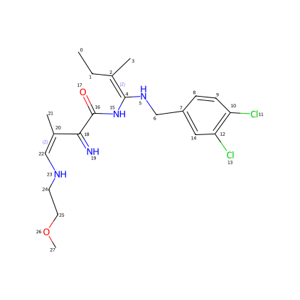 CC/C(C)=C(/NCc1ccc(Cl)c(Cl)c1)NC(=O)C(=N)/C(C)=C\NCCOC